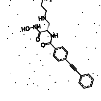 NCCNC[C@H](NC(=O)c1ccc(C#Cc2ccccc2)cc1)C(=O)NO